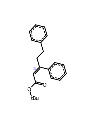 CC(C)(C)OC(=O)/C=C(/CCc1ccccc1)c1ccccc1